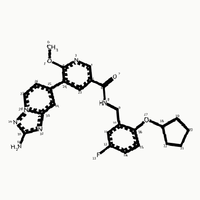 COc1ncc(C(=O)NCc2cc(F)ccc2OC2CCCC2)cc1-c1ccn2nc(N)nc2c1